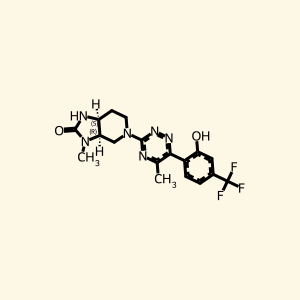 Cc1nc(N2CC[C@@H]3NC(=O)N(C)[C@@H]3C2)nnc1-c1ccc(C(F)(F)F)cc1O